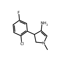 CN1C=C(N)C(c2cc(F)ccc2Cl)C1